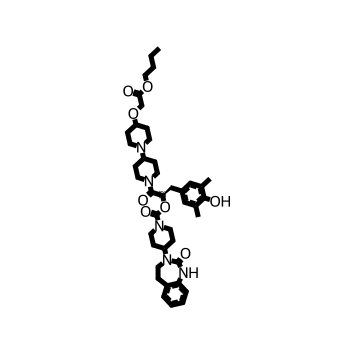 CCCCOC(=O)COC1CCN(C2CCN(C(=O)[C@@H](Cc3cc(C)c(O)c(C)c3)OC(=O)N3CCC(N4CCc5ccccc5NC4=O)CC3)CC2)CC1